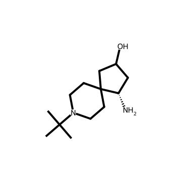 CC(C)(C)N1CCC2(CC1)CC(O)C[C@@H]2N